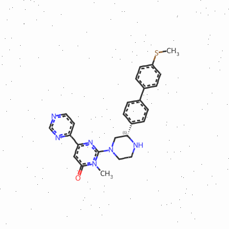 CSc1ccc(-c2ccc([C@H]3CN(c4nc(-c5ccncn5)cc(=O)n4C)CCN3)cc2)cc1